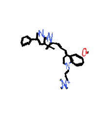 COc1ccc2c(c1)C(=CC=CC1=Nc3ncc(-c4ccccc4)cc3C1(C)C)C=CN2CCC[N+](C)(C)C